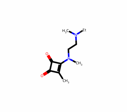 CCN(C)CCN(C)c1c(C)c(=O)c1=O